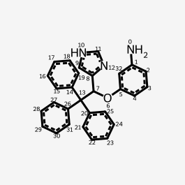 Nc1cccc(OC(c2c[nH]cn2)C(c2ccccc2)(c2ccccc2)c2ccccc2)c1